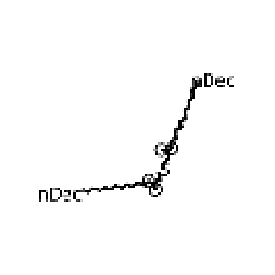 CCCCCCCCCCCCCCCCCCCCCCOC(=O)CCSCCC(=O)OCCCCCCCCCCCCCCCCCCCCCC